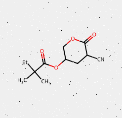 CCC(C)(C)C(=O)OC1COC(=O)C(C#N)C1